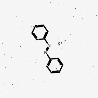 [I-].[K+].c1ccc(N=Nc2ccccc2)cc1